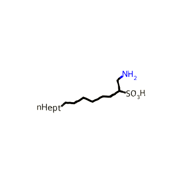 CCCCCCCCCCCCCC(CN)S(=O)(=O)O